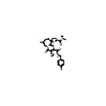 CCC1(OCC(=O)N(C)C)CCC(C)Cn2c1nc(C(=O)NCc1ccc(F)cc1)c(O)c2=O